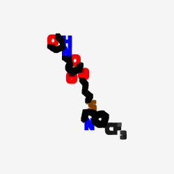 O=c1cc(CNC2CCOCC2)occ1OCCCCCSc1ccnc2cc(C(F)(F)F)ccc12